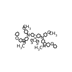 CCn1c2ccc(Oc3ccccc3)cc2c2cc(N(c3ccc(OC)cc3)c3ccc4c(c3)C3(c5cc(N(c6ccc(OC)cc6)c6ccc7c(c6)c6cc(Oc8ccccc8)ccc6n7CC)ccc5-4)c4ccsc4-c4sccc43)ccc21